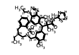 CC[C@H]1Cc2ccccc2S(=O)(=O)N(Cc2cc(C(c3ccc4c(nnn4CC)c3C)C(C)(C)C(=O)Nc3ncns3)ccc2C)C1